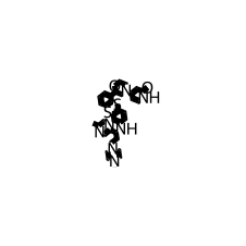 Cc1cnc(C(CCN2CCN(C)CC2)Nc2ccc3c(c2)Sc2cccc(C4CN(c5cc[nH]c(=O)c5)CCO4)c2S3)cn1